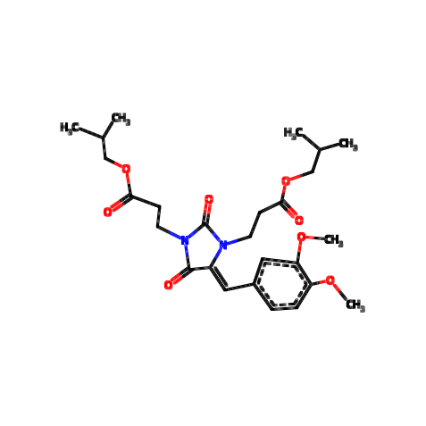 COc1ccc(C=C2C(=O)N(CCC(=O)OCC(C)C)C(=O)N2CCC(=O)OCC(C)C)cc1OC